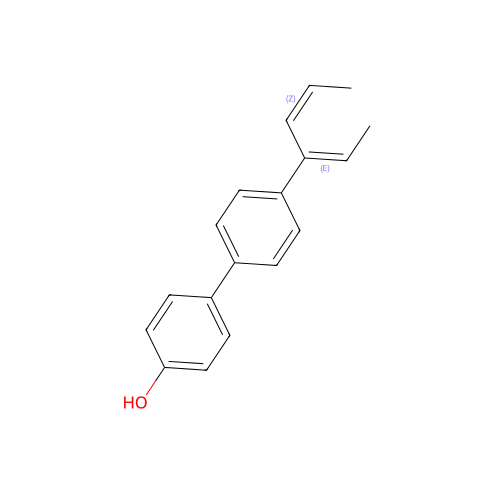 C/C=C\C(=C/C)c1ccc(-c2ccc(O)cc2)cc1